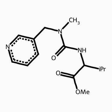 COC(=O)C(NC(=O)N(C)Cc1cccnc1)C(C)C